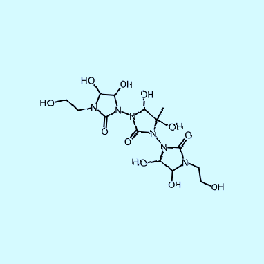 CC1(O)C(O)N(N2C(=O)N(CCO)C(O)C2O)C(=O)N1N1C(=O)N(CCO)C(O)C1O